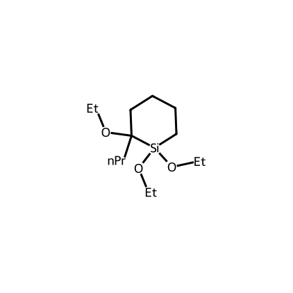 CCCC1(OCC)CCCC[Si]1(OCC)OCC